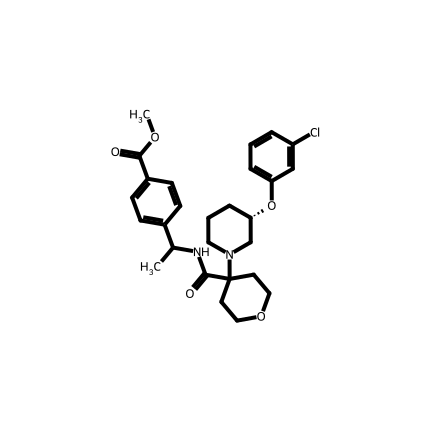 COC(=O)c1ccc(C(C)NC(=O)C2(N3CCC[C@H](Oc4cccc(Cl)c4)C3)CCOCC2)cc1